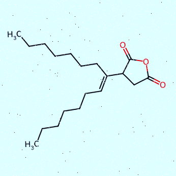 CCCCCCC=C(CCCCCCC)C1CC(=O)OC1=O